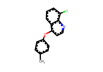 Cc1ccc(Oc2ccnc3c(Cl)cccc23)cc1